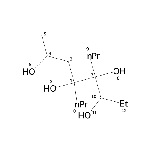 CCCC(O)(CC(C)O)C(O)(CCC)C(O)CC